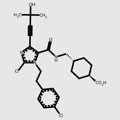 CC(C)(O)C#Cc1nc(Cl)n(CCc2ccc(Cl)cc2)c1C(=O)NC[C@H]1CC[C@H](C(=O)O)CC1